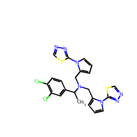 CC(c1ccc(Cl)c(Cl)c1)N(Cc1cccn1-c1nncs1)Cc1cccn1-c1nncs1